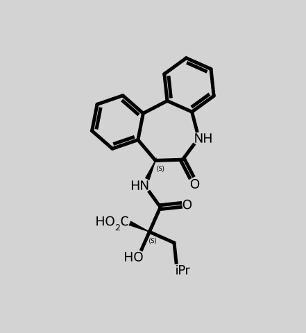 CC(C)C[C@@](O)(C(=O)O)C(=O)N[C@@H]1C(=O)Nc2ccccc2-c2ccccc21